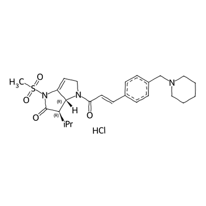 CC(C)[C@H]1C(=O)N(S(C)(=O)=O)C2=CCN(C(=O)C=Cc3ccc(CN4CCCCC4)cc3)[C@@H]21.Cl